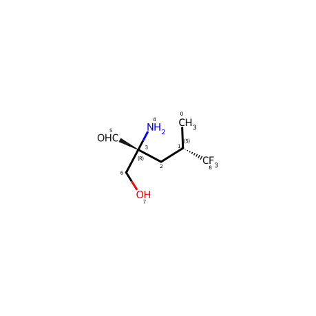 C[C@@H](C[C@](N)(C=O)CO)C(F)(F)F